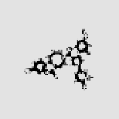 COc1ccc([C@@H]2CN(c3ccc(=O)[nH]n3)C[C@H]2C(=O)N2CCC[C@@H](c3ccc(Cl)cc3)N(C(C)=O)CC2)c(F)c1